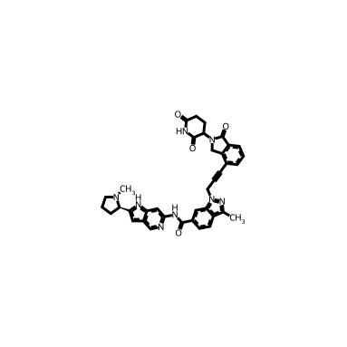 Cc1nn(CC#Cc2cccc3c2CN(C2CCC(=O)NC2=O)C3=O)c2cc(C(=O)Nc3cc4[nH]c([C@H]5CCCN5C)cc4cn3)ccc12